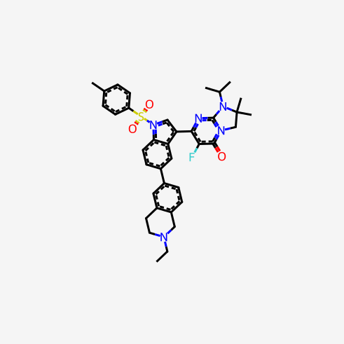 CCN1CCc2cc(-c3ccc4c(c3)c(-c3nc5n(c(=O)c3F)CC(C)(C)N5C(C)C)cn4S(=O)(=O)c3ccc(C)cc3)ccc2C1